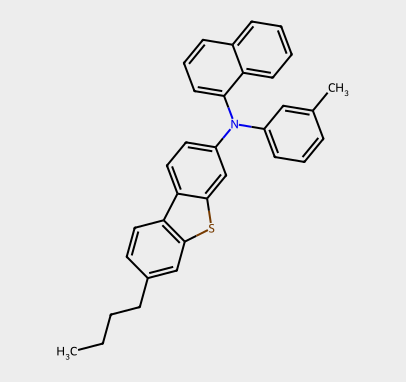 CCCCc1ccc2c(c1)sc1cc(N(c3cccc(C)c3)c3cccc4ccccc34)ccc12